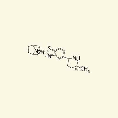 C[C@H]1CCC(c2ccc3sc(C4=CC5CCC(C4)N5C)nc3c2)NC1